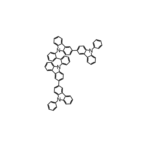 c1ccc(-n2c3ccccc3c3cc(-c4ccc5c(c4)c4ccccc4n5-c4ccccc4-c4ccccc4-n4c5ccccc5c5cc(-c6ccc7c(c6)c6ccccc6n7-c6ccccc6)ccc54)ccc32)cc1